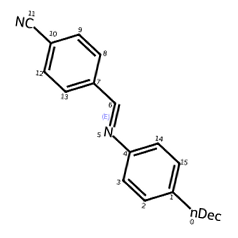 CCCCCCCCCCc1ccc(/N=C/c2ccc(C#N)cc2)cc1